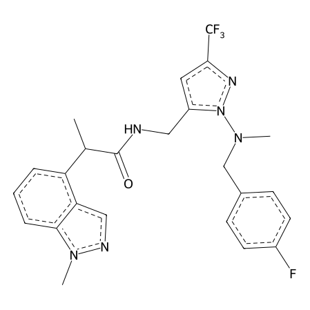 CC(C(=O)NCc1cc(C(F)(F)F)nn1N(C)Cc1ccc(F)cc1)c1cccc2c1cnn2C